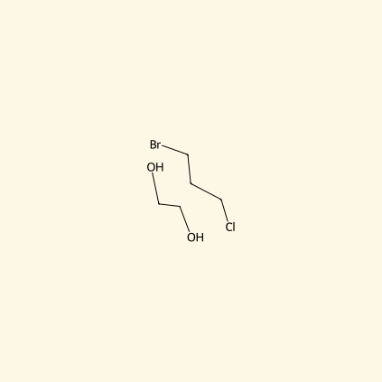 ClCCCBr.OCCO